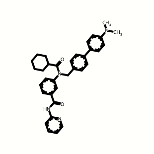 CN(C)c1ccc(-c2ccc(CN(C(=O)C3CCCCC3)c3cccc(C(=O)Nc4ccccn4)c3)cc2)cc1